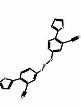 N#Cc1cc(OBOc2ccc(-c3cccs3)c(C#N)c2)ccc1-c1cccs1